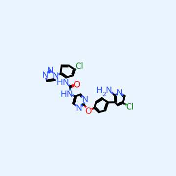 Nc1ncc(Cl)cc1-c1ccc(Oc2ncc(NC(=O)Nc3cc(Cl)ccc3-n3ccnn3)cn2)cc1